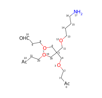 CC(=O)CCOCC(COCCC=O)(COCCCCN)COCCC(C)=O